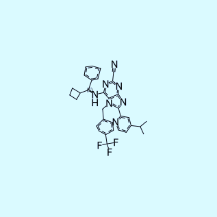 CC(C)c1ccnc(-c2nc3nc(C#N)nc(N[C@H](c4ccccc4)C4CCC4)c3n2Cc2ccc(C(F)(F)F)cc2)c1